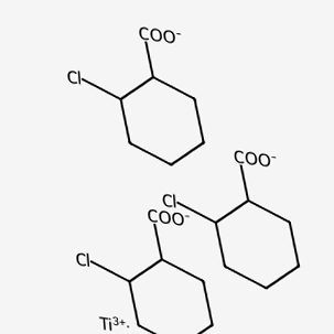 O=C([O-])C1CCCCC1Cl.O=C([O-])C1CCCCC1Cl.O=C([O-])C1CCCCC1Cl.[Ti+3]